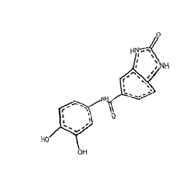 O=C(Nc1ccc(O)c(O)c1)c1ccc2[nH]c(=O)[nH]c2c1